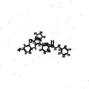 O=c1c(Cc2ccc(F)cc2)c(-c2ccnc(NCCc3ccccc3)n2)n2n1CCC2